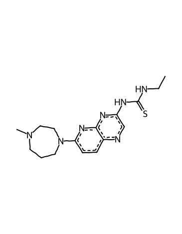 CCNC(=S)Nc1cnc2ccc(N3CCCN(C)CC3)nc2n1